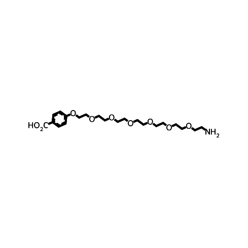 NCCOCCOCCOCCOCCOCCOCCOc1ccc(C(=O)O)cc1